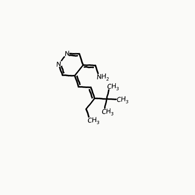 CC\C(=C/C=c1/cnnc/c1=C/N)C(C)(C)C